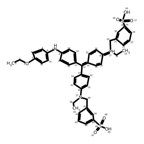 CCOc1ccc(Nc2ccc(C(=C3C=CC(=[PH](CC)Cc4cccc(S(=O)(=O)O)c4)C=C3)c3ccc(N(CC)Cc4cccc(S(=O)(=O)O)c4)cc3)cc2)cc1